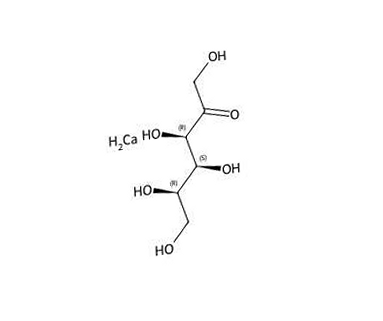 O=C(CO)[C@H](O)[C@@H](O)[C@H](O)CO.[CaH2]